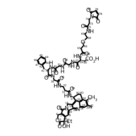 CC[C@@]1(O)C(=O)OCc2c1cc1n(c2=O)Cc2c-1nc1cc(F)c(C)c3c1c2[C@@H](NC(=O)CCNC(=O)CNC(=O)[C@H](Cc1ccccc1)NC(=O)CNC(=O)CNC(=O)[C@H](CC(=O)O)NC(=O)CCOCCNC(=O)CCN1C(=O)C=CC1=O)CC3